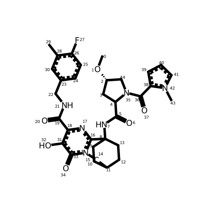 CO[C@H]1CC(C(=O)NC23CCC(CC2)Cn2c3nc(C(=O)NCc3ccc(F)c(C)c3)c(O)c2=O)N(C(=O)c2cccn2C)C1